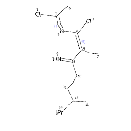 C/C(Cl)=N\C(Cl)=C(\C)C(=N)CCC(C)C(C)C